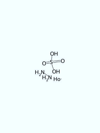 NN.O=S(=O)(O)O.[Ho]